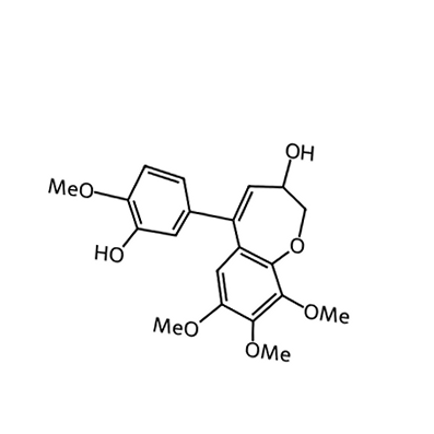 COc1ccc(C2=CC(O)COc3c2cc(OC)c(OC)c3OC)cc1O